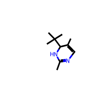 CC1=CN=C(C)NC1C(C)(C)C